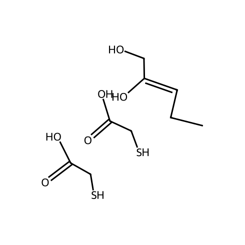 CCC=C(O)CO.O=C(O)CS.O=C(O)CS